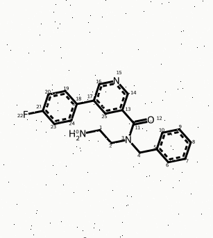 NCCN(Cc1ccccc1)C(=O)c1cncc(-c2ccc(F)cc2)c1